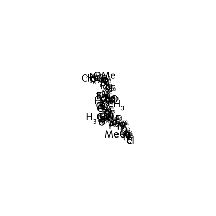 COc1nc(Cl)ccc1COc1cccc(-c2cc(F)c(Cc3nc4c(F)cc(C(=O)OC(=O)c5cc(F)c6nc(Cc7cc(F)c(-c8cccc(OCc9ccc(Cl)nc9OC)n8)cc7F)n(C7COCC7(C)C)c6c5)cc4n3C3COCC3(C)C)cc2F)n1